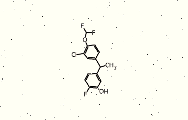 CC(c1ccc(F)c(O)c1)c1ccc(OC(F)F)c(Cl)c1